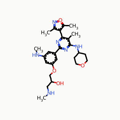 CNCC(O)COc1cc(NC)cc(-c2nc(NC3CCOCC3)c(C)c(-c3c(C)noc3C)n2)c1